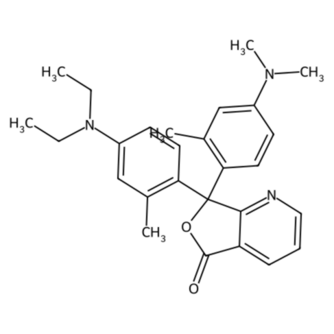 CCN(CC)c1ccc(C2(c3ccc(N(C)C)cc3C)OC(=O)c3cccnc32)c(C)c1